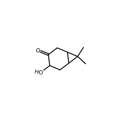 CC1(C)C2CC(=O)C(O)CC21